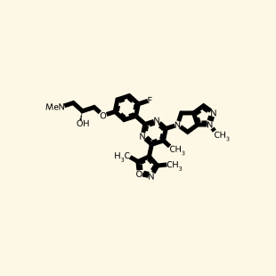 CNC[C@@H](O)COc1ccc(F)c(-c2nc(-c3c(C)noc3C)c(C)c(N3Cc4cnn(C)c4C3)n2)c1